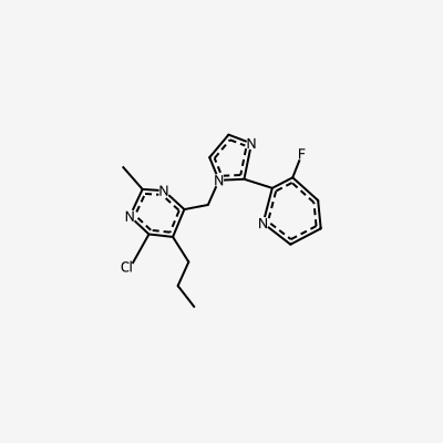 CCCc1c(Cl)nc(C)nc1Cn1ccnc1-c1ncccc1F